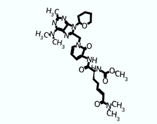 COC(=O)N[C@@H](CC/C=C/C(=O)N(C)C)C(=O)Nc1cccn(Cc2nc3c(N(C)C)nc(C)nc3n2C2CCCCO2)c1=O